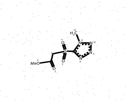 COC(=O)CS(=O)(=O)c1nnnn1C